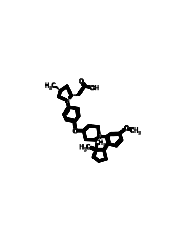 COc1ccc(C2CCCC2(C)C)c(N2CCC(Oc3ccc(N4C[C@H](C)C[C@@H]4CC(=O)O)cc3)CC2)c1